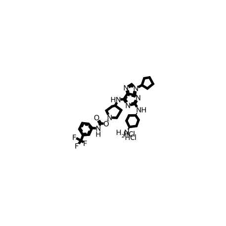 Cl.Cl.N[C@H]1CC[C@H](Nc2nc(NC3CCN(OC(=O)Nc4cccc(C(F)(F)F)c4)CC3)c3ncn(C4CCCC4)c3n2)CC1